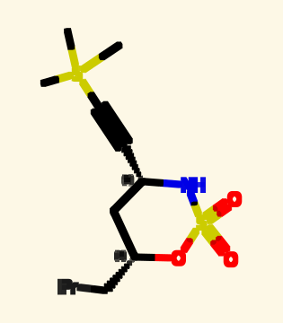 CC(C)C[C@@H]1C[C@H](C#CS(C)(C)C)NS(=O)(=O)O1